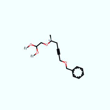 CCOC(CO[C@@H](C)CC#CCOCc1ccccc1)OCC